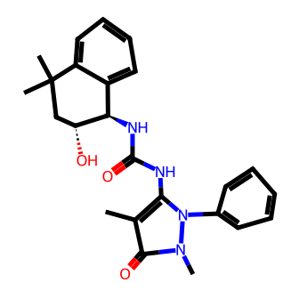 Cc1c(NC(=O)N[C@@H]2c3ccccc3C(C)(C)C[C@H]2O)n(-c2ccccc2)n(C)c1=O